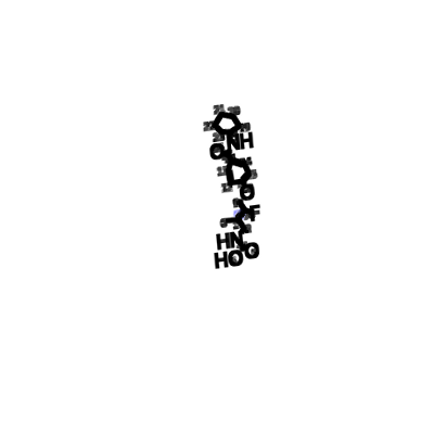 C/C(CNC(=O)O)=C(/F)COc1ccc(C(=O)NC2CCCCC2)cc1